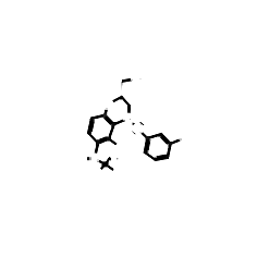 Cc1c(N(C(=O)O)C(C)(C)C(F)(F)F)ccc2c1N(S(=O)(=O)c1cccc(C(F)(F)F)c1)C[C@H](CO)O2